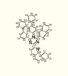 c1ccc(-c2nc(-c3ccc4ccc5ccccc5c4n3)nc(-c3ccc4ccccc4c3-c3ccc4c5ccccc5c5ccccc5c4c3)n2)cc1